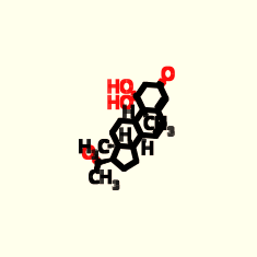 CC(=O)[C@@H]1CC[C@H]2[C@@H]3C=CC4=CC(=O)CC(O)(O)[C@@]4(C)[C@@H]3CC[C@]12C